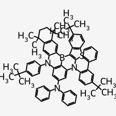 CC(C)(C)c1ccc(N2c3cc4c(cc3B3c5c2cc(N(c2ccccc2)c2ccccc2)cc5N(c2ccc(C(C)(C)C)cc2-c2ccccc2)c2sc5ccc(C(C)(C)C)cc5c23)C(C)(C)CCC4(C)C)cc1